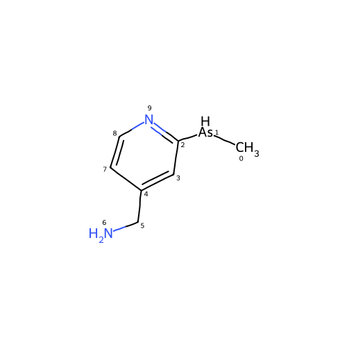 C[AsH]c1cc(CN)ccn1